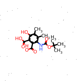 Cc1c(C)c(NC(=O)OC(C)(C)C)c(C(=O)O)c(C(=O)O)c1O